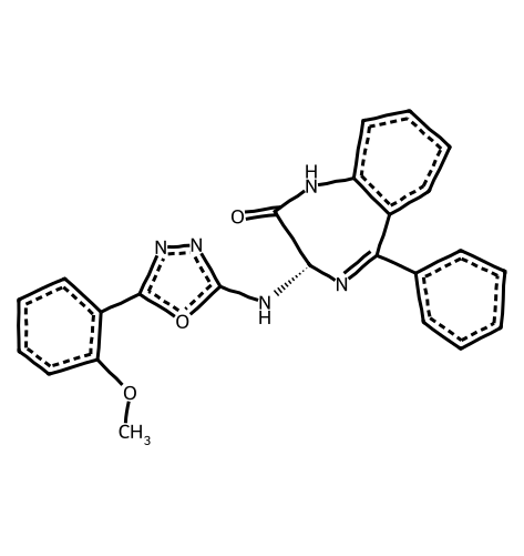 COc1ccccc1-c1nnc(N[C@H]2N=C(c3ccccc3)c3ccccc3NC2=O)o1